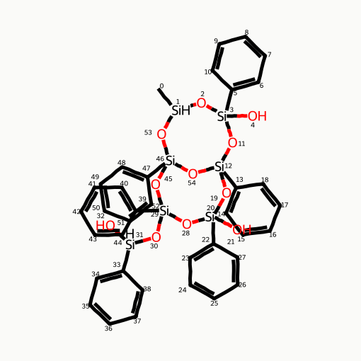 C[SiH]1O[Si](O)(c2ccccc2)O[Si]2(c3ccccc3)O[Si](O)(c3ccccc3)O[Si](O[SiH](O)c3ccccc3)(c3ccccc3)O[Si](c3ccccc3)(O1)O2